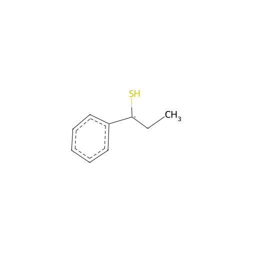 CC[C](S)c1ccccc1